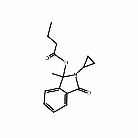 CCCC(=O)OC1(C)c2ccccc2C(=O)N1C1CC1